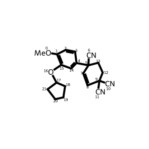 COc1ccc(C2(C#N)C=CC(C#N)(C#N)CC2)cc1OC1CCCC1